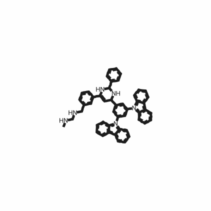 CNCNCc1cccc(C2=CC(c3cc(-n4c5ccccc5c5ccccc54)cc(-n4c5ccccc5c5ccccc54)c3)NC(c3ccccc3)N2)c1